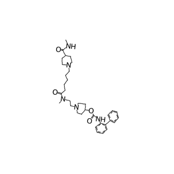 CNC(=O)C1CCN(CCCCCC(=O)N(C)CCN2CCC(OC(=O)Nc3ccccc3-c3ccccc3)CC2)CC1